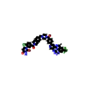 Cc1nc(N[C@H](C)c2cc(N)cc(C(F)(F)F)c2)c2cc(C3CCC(C(=O)N4CCN(CC5CCC6(CC5)CCN(C(=O)c5ccc(Cl)c(N7CCC(=O)NC7=O)c5)CC6)CC4)CC3)ncc2n1